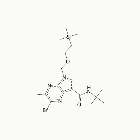 Cc1nc2c(nc1Br)c(C(=O)NC(C)(C)C)cn2COCC[Si](C)(C)C